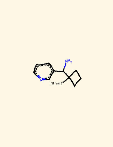 CCCCCC1(C(N)c2cccnc2)CCC1